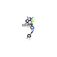 COc1ccc2ncc(Cl)c(C(F)CCC3(C(=O)O)CCN(CC#Cc4ccc(C)c(F)c4)CC3)c2c1